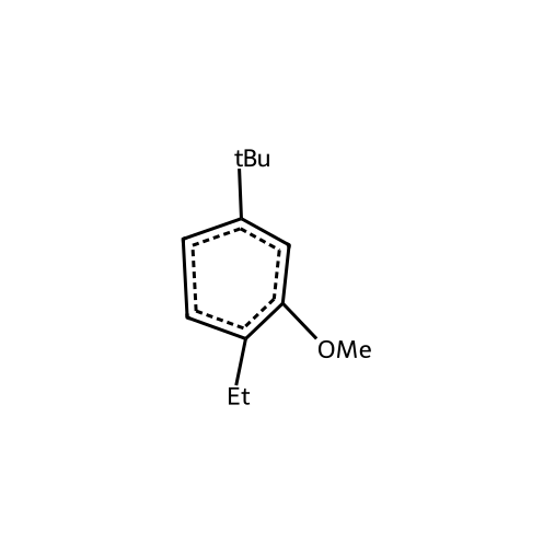 CCc1ccc(C(C)(C)C)cc1OC